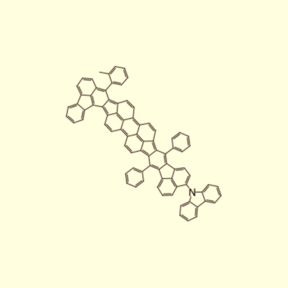 Cc1ccccc1-c1c2cccc3c4ccccc4c(c23)c2c3ccc4c5ccc6c7c(-c8ccccc8)c8c9cccc%10c(-n%11c%12ccccc%12c%12ccccc%12%11)ccc(c8c(-c8ccccc8)c7c7ccc(c8ccc(c12)c3c84)c5c76)c%109